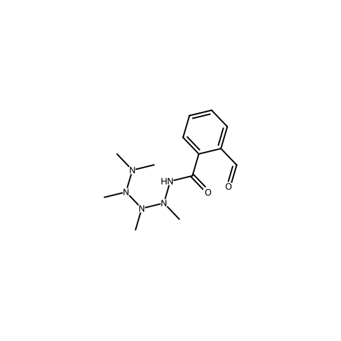 CN(C)N(C)N(C)N(C)NC(=O)c1ccccc1C=O